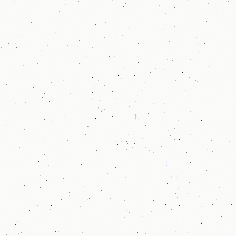 C=CC1=C(/C=C(\C)Cl)CN2C(C)CN(Cc3ccccc3)CC12